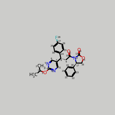 CC(C)Oc1ncc([C@@H](CC(=O)N2C(=O)OC[C@H]2c2ccccc2)c2ccc(F)cc2)cn1